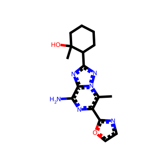 Cc1c(-c2ncco2)nc(N)c2nc(C3CCCCC3(C)O)nn12